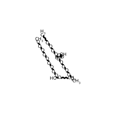 CCCCCCOCC(O)OCCOCCOCCOCCOCCOCCOCCOCCOCC.CCCCCCOCCOCCOCCOCCOCCOCCOCCOCCOCCOCC.O=S(=O)(O)O